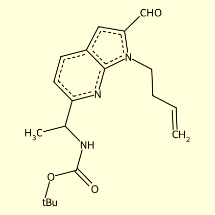 C=CCCn1c(C=O)cc2ccc(C(C)NC(=O)OC(C)(C)C)nc21